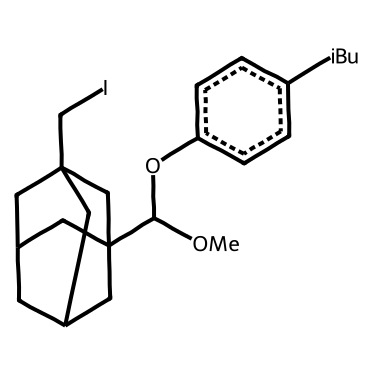 CCC(C)c1ccc(OC(OC)C23CC4CC(CC(CI)(C4)C2)C3)cc1